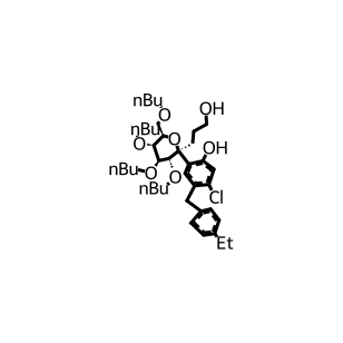 CCCCOC[C@H]1O[C@@](CCCO)(c2cc(Cc3ccc(CC)cc3)c(Cl)cc2O)[C@H](OCCCC)[C@@H](OCCCC)[C@@H]1OCCCC